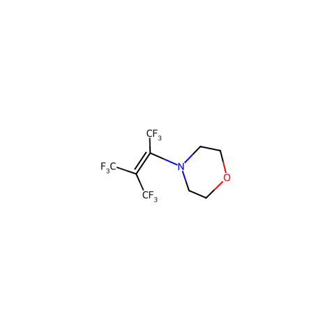 FC(F)(F)C(=C(C(F)(F)F)C(F)(F)F)N1CCOCC1